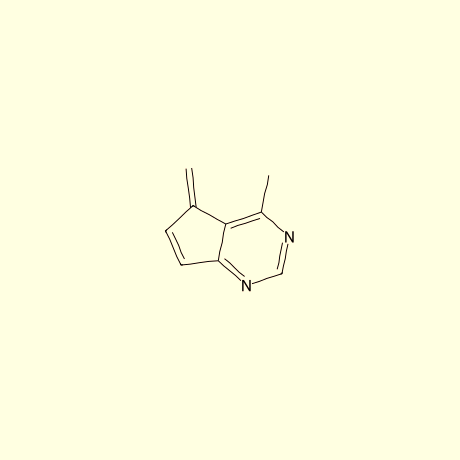 C=C1C=Cc2ncnc(C)c21